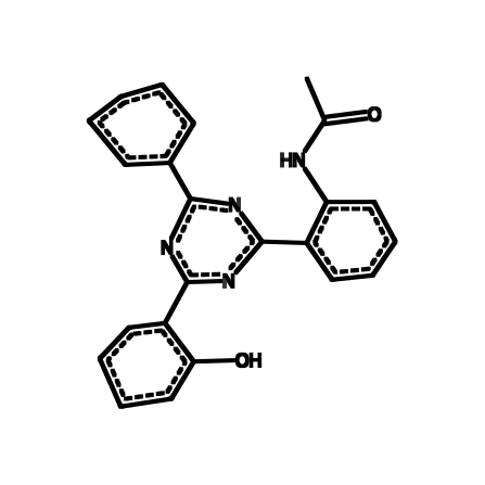 CC(=O)Nc1ccccc1-c1nc(-c2ccccc2)nc(-c2ccccc2O)n1